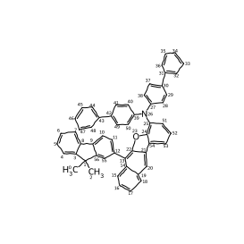 CC1(C)c2ccccc2-c2ccc(-c3c4ccccc4cc4c3oc3c(N(c5ccc(-c6ccccc6)cc5)c5ccc(-c6ccccc6)cc5)cccc34)cc21